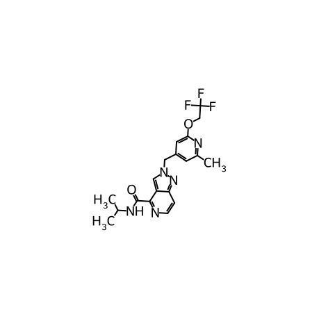 Cc1cc(Cn2cc3c(C(=O)NC(C)C)nccc3n2)cc(OCC(F)(F)F)n1